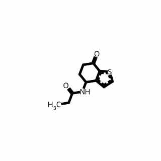 CCC(=O)NC1CCC(=O)c2sccc21